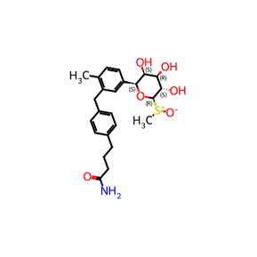 Cc1ccc([C@@H]2O[C@H]([S+](C)[O-])[C@@H](O)[C@H](O)[C@@H]2O)cc1Cc1ccc(CCCC(N)=O)cc1